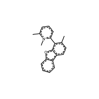 Cc1ccc2c(oc3ccccc32)c1-c1cccc(C)[n+]1C